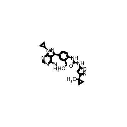 CC1(c2cc(NC(=O)Nc3ccc(-c4nn(C5CC5)c5ncnc(N)c45)cc3CO)on2)CC1